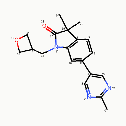 Cc1ncc(-c2ccc3c(c2)N(CC2COC2)C(=O)C3(C)C)cn1